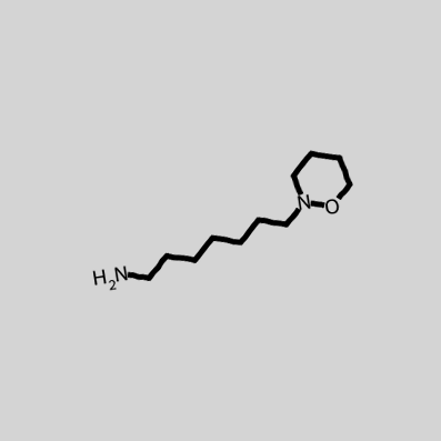 NCCCCCCCN1CCCCO1